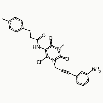 Cc1ccc(CCC(=O)Nc2c(Cl)n(CC#Cc3cccc(N)c3)c(=O)n(C)c2=O)cc1